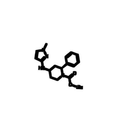 Cn1ccc(NC2CCN(C(=O)OC(C)(C)C)[C@H](c3ccccc3)C2)n1